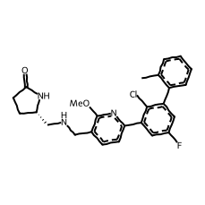 COc1nc(-c2cc(F)cc(-c3ccccc3C)c2Cl)ccc1CNC[C@@H]1CCC(=O)N1